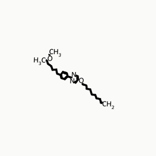 C=CCCCCCCCCOc1cnc(-c2ccc(CCCCCC(C)OCC)cc2)nc1